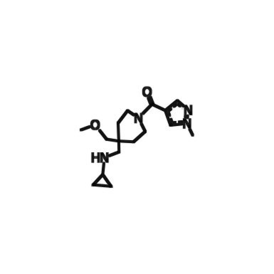 COCC1(CNC2CC2)CCN(C(=O)c2cnn(C)c2)CC1